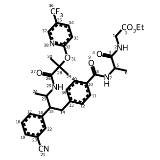 CCOC(=O)CNC(=O)C(C)NC(=O)c1ccc(CC(c2cccc(C#N)c2)C(C)NC(=O)C(C)(C)Oc2ccc(C(F)(F)F)cn2)cc1